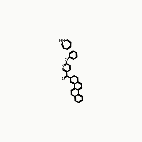 C1=CC=CNC=C1.O=C(c1ccc(Oc2ccccc2)nc1)C1C=c2c(ccc3c2=CCc2ccccc2-3)CC1